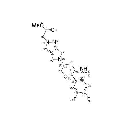 COC(=O)Cn1cc2c(n1)CN([C@H]1CO[C@H](c3cc(F)c(F)cc3F)[C@@H](N)C1)C2